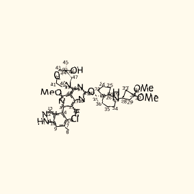 COc1nc(-c2c(Cl)c(C)cc3[nH]ncc23)c(F)c2nc(OC[C@]34CCC[C@H]3N(C3CC(OC)(OC)C3)CCC4)nc(N3CCOC[C@@](C)(O)C3)c12